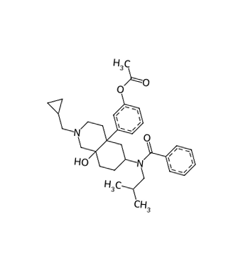 CC(=O)Oc1cccc(C23CCN(CC4CC4)CC2(O)CCC(N(CC(C)C)C(=O)c2ccccc2)C3)c1